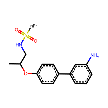 CCCS(=O)(=O)NCC(C)Oc1ccc(-c2cccc(N)c2)cc1